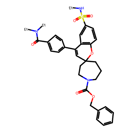 CCNS(=O)(=O)c1ccc2c(c1)C(c1ccc(C(=O)N(CC)CC)cc1)=CC1(CCCN(C(=O)OCc3ccccc3)CC1)O2